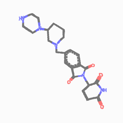 O=C1CCC(N2C(=O)c3ccc(CN4CCCC(N5CCNCC5)C4)cc3C2=O)C(=O)N1